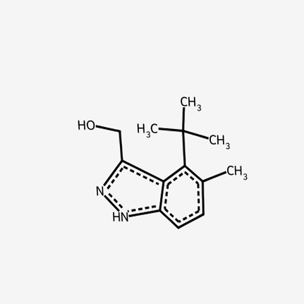 Cc1ccc2[nH]nc(CO)c2c1C(C)(C)C